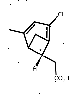 CC1=CC(Cl)=C2CC1[C@H]2CC(=O)O